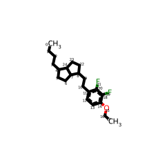 CCCCC1CCC2C(CCc3ccc(OCC)c(F)c3F)CCC12